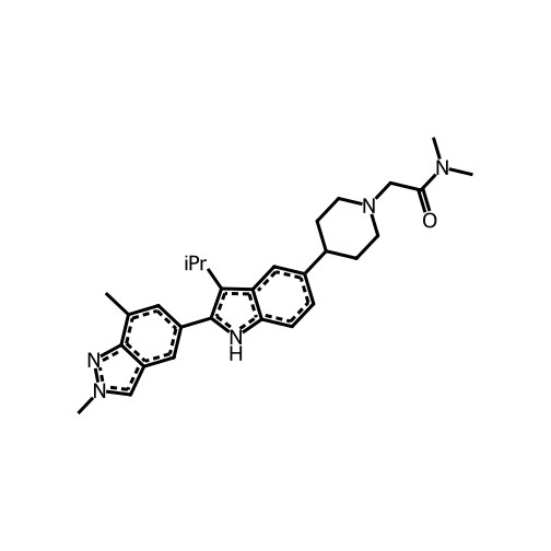 Cc1cc(-c2[nH]c3ccc(C4CCN(CC(=O)N(C)C)CC4)cc3c2C(C)C)cc2cn(C)nc12